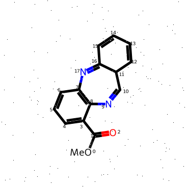 COC(=O)c1cccc2c1N=CC1C=CC=CC1=N2